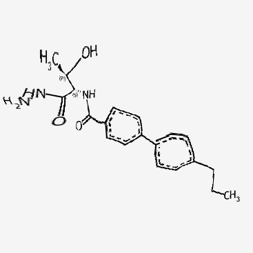 CCCc1ccc(-c2ccc(C(=O)N[C@H](C(=O)NN)[C@@H](C)O)cc2)cc1